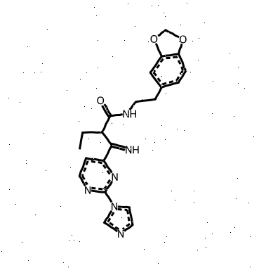 CCC(C(=N)c1ccnc(-n2ccnc2)n1)C(=O)NCCc1ccc2c(c1)OCO2